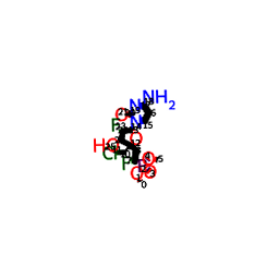 COP(=O)(OC)/C(F)=C/[C@@]1(CCl)O[C@@H](n2ccc(N)nc2=O)C(F)[C@@H]1O